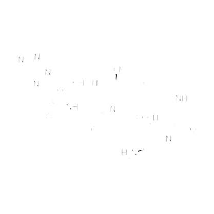 CC(NS(=O)(=O)Cn1cnnn1)[C@H]1C(=O)N2C(C(=O)O)=C(S[C@@H]3CN[C@H](C(=O)N4CC[C@@H](N)C4)C3)[C@H](C)[C@H]12